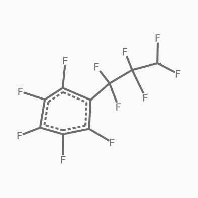 F[C](F)C(F)(F)C(F)(F)c1c(F)c(F)c(F)c(F)c1F